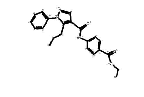 CCCc1c(C(=O)Nc2ccc(C(=O)OCC)cc2)cnn1-c1ccccc1